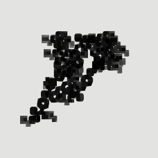 COC(=O)[C@H](Cc1ccc(OCc2cn([C@H]3C[C@@H](C(=O)N[C@@H](Cc4ccc5ccccc5c4)C(=O)O)N(C(=O)[C@@H](NC(=O)[C@H](C)N(C)C(=O)OC(C)(C)C)C(C)(C)C)C3)nn2)cc1)NC(=O)C(Cc1ccc2ccccc2c1)NC(=O)[C@@H]1C[C@H](n2cc(COc3ccc([C@H](N)C(=O)OC)cc3)nn2)CN1C(=O)[C@@H](NC(=O)[C@H](C)N(C)C(=O)OC(C)(C)C)C(C)(C)C